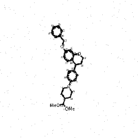 COC(OC)C1CCN(c2ccc(C3CCOc4cc(OCc5ccccc5)ccc43)cc2)CC1